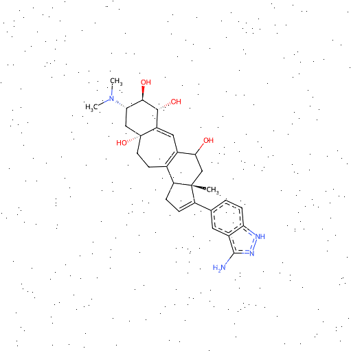 CN(C)[C@H]1C[C@]2(O)CCC3=C(C=C2[C@@H](O)[C@@H]1O)C(O)C[C@]1(C)C(c2ccc4[nH]nc(N)c4c2)=CCC31